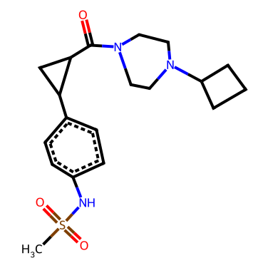 CS(=O)(=O)Nc1ccc(C2CC2C(=O)N2CCN(C3CCC3)CC2)cc1